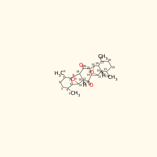 CC1CCC(C)C2C1C1OC2[C@H]2C(=O)C3C(C(=O)C12)C1OC3[C@H]2C(C)CCC(C)C12